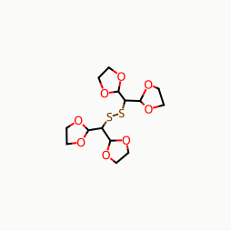 C1COC(C(SSC(C2OCCO2)C2OCCO2)C2OCCO2)O1